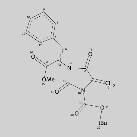 C=C1C(=O)N([C@@H](Cc2ccccc2)C(=O)OC)C(=O)N1C(=O)OC(C)(C)C